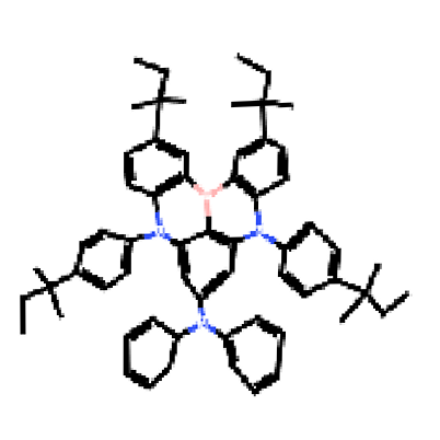 CCC(C)(C)c1ccc(N2c3ccc(C(C)(C)CC)cc3B3c4cc(C(C)(C)CC)ccc4N(c4ccc(C(C)(C)CC)cc4)c4cc(N(c5ccccc5)C5C=CC=CC5)cc2c43)cc1